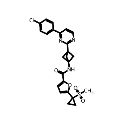 CS(=O)(=O)C1(c2ccc(C(=O)NC34CC(c5nccc(-c6ccc(Cl)cc6)n5)(C3)C4)o2)CC1